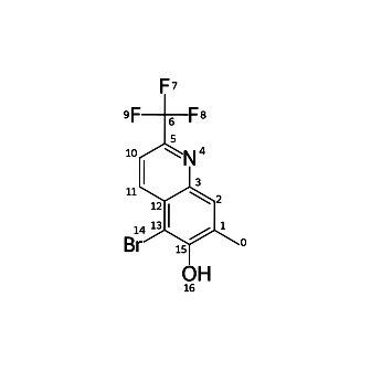 Cc1cc2nc(C(F)(F)F)ccc2c(Br)c1O